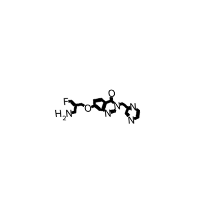 NC/C(=C\F)COc1ccc2c(=O)n(Cc3cnccn3)cnc2c1